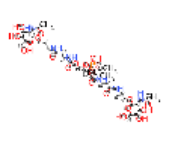 CC(=O)N[C@H]1[C@H](OCCCNC(=O)CCNC(=O)OCC(COC(=O)NCCC(=O)NCCCO[C@@H]2O[C@H](CO)[C@H](O)[C@H](O)[C@H]2NC(C)=O)OP(=O)(O)OC(C)(C)C)O[C@H](CO)[C@H](O)[C@@H]1O